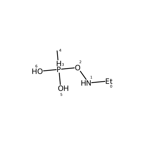 CCNO[PH](C)(O)O